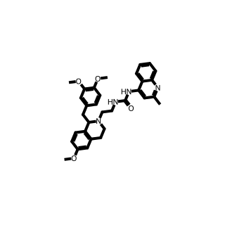 COc1ccc2c(c1)CCN(CCNC(=O)Nc1cc(C)nc3ccccc13)C2Cc1ccc(OC)c(OC)c1